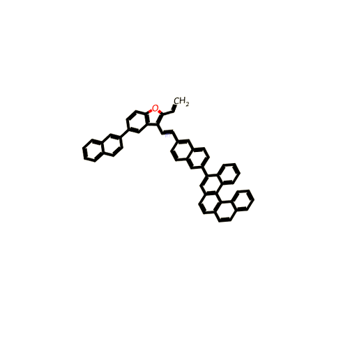 C=Cc1oc2ccc(-c3ccc4ccccc4c3)cc2c1/C=C/c1ccc2cc(-c3cc4ccc5ccc6ccccc6c5c4c4ccccc34)ccc2c1